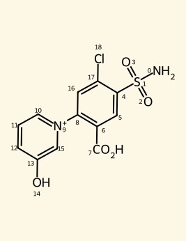 NS(=O)(=O)c1cc(C(=O)O)c(-[n+]2cccc(O)c2)cc1Cl